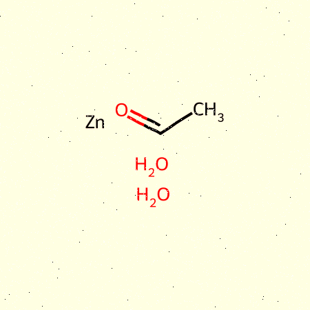 CC=O.O.O.[Zn]